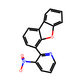 O=[N+]([O-])c1cccnc1-c1cccc2c1oc1ccccc12